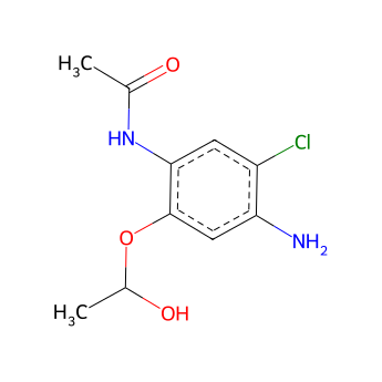 CC(=O)Nc1cc(Cl)c(N)cc1OC(C)O